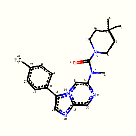 CN(C(=O)N1CCC(C)(C)CC1)c1cn2c(-c3ccc(C(F)(F)F)cc3)cnc2cn1